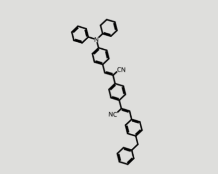 N#C/C(=C\c1ccc(Cc2ccccc2)cc1)c1ccc(/C(C#N)=C/c2ccc(N(C3=CC=CCC3)c3ccccc3)cc2)cc1